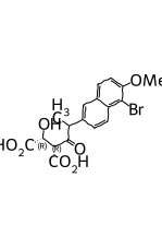 COc1ccc2cc(C(C)C(=O)[C@H](C(=O)O)[C@@H](O)C(=O)O)ccc2c1Br